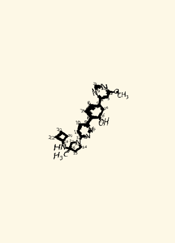 COc1cc(-c2ccc(-c3ccc(N4CC[C@](C)(NC5CCC5)C4)nn3)c(O)c2)ncn1